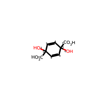 O=C(O)C1(O)C=CC(O)(C(=O)O)C=C1